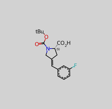 CC(C)(C)OC(=O)N1CC(=Cc2cccc(F)c2)C[C@H]1C(=O)O